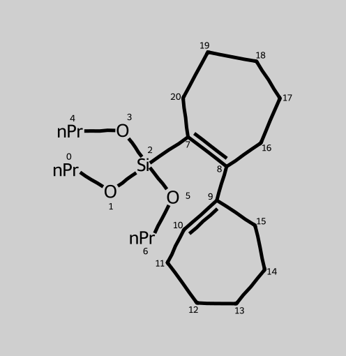 CCCO[Si](OCCC)(OCCC)C1=C(C2=CCCCCC2)CCCCC1